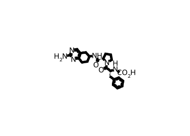 Nc1ncc2c(n1)CCC(NC(=O)[C@@H]1CCCN1C(=O)[C@@H](Cc1ccccc1)NC(=O)O)C2